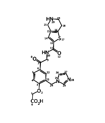 O=C(O)COc1ccc(C(=O)CNC(=O)c2cc3c(s2)CCNC3)cc1Cn1ccnc1